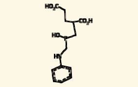 O=C(O)CCC(CP(O)CNc1ccccc1)C(=O)O